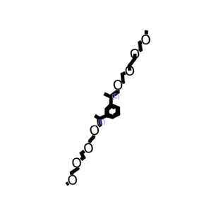 COCCOCCOCCO/C=C(\C)c1cccc(/C(C)=C/OCCOCCOCCOC)c1